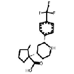 CC1CCCC1(C(=O)O)[C@H]1CCN[C@@H](c2ccc(C(F)(F)F)cc2)C1